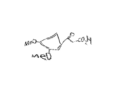 COc1ccc(C(=O)CC(=O)O)cc1OC